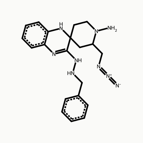 [N-]=[N+]=NCC1CC2(CCN1N)Nc1ccccc1N=C2NNCc1ccccc1